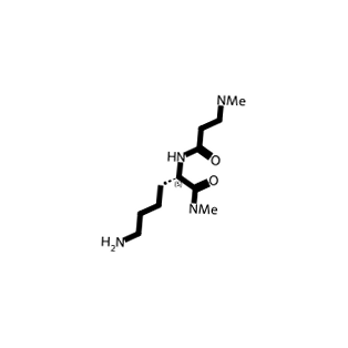 CNCCC(=O)N[C@@H](CCCCN)C(=O)NC